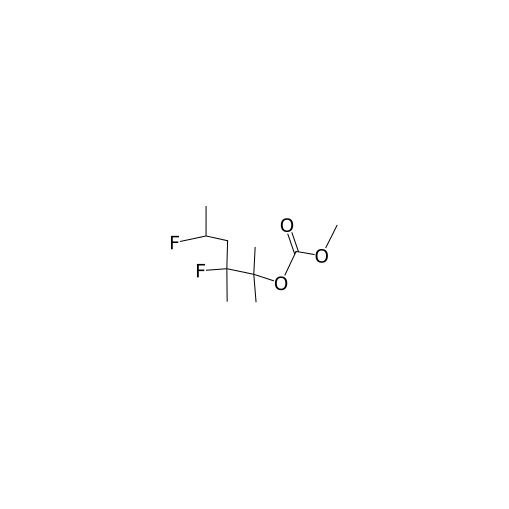 COC(=O)OC(C)(C)C(C)(F)CC(C)F